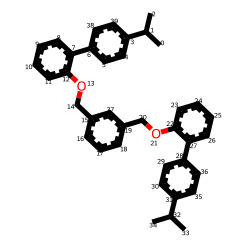 CC(C)c1ccc(-c2ccccc2OCc2cccc(COc3ccccc3-c3ccc(C(C)C)cc3)c2)cc1